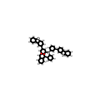 c1cc(-c2ccc3c(c2)sc2ccccc23)cc(N(c2cccc(-c3ccc4oc5ccccc5c4c3)c2)c2ccccc2-c2cccc3ccccc23)c1